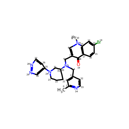 Cc1cc(CN(Cc2cn(C(C)C)c3cc(Br)ccc3c2=O)[C@H]2CCCN(c3ccnnc3)C2)ccn1